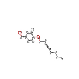 CCCCC#CCCOc1ccc(C=O)cc1C